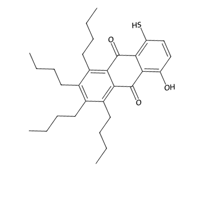 CCCCc1c(CCCC)c(CCCC)c2c(c1CCCC)C(=O)c1c(O)ccc(S)c1C2=O